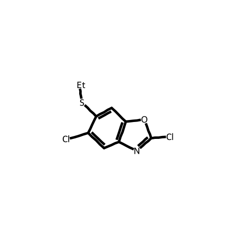 CCSc1cc2oc(Cl)nc2cc1Cl